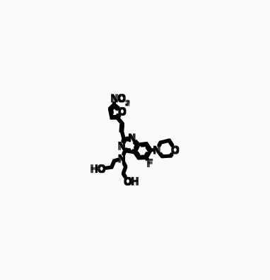 O=[N+]([O-])c1ccc(C=Cc2nc(N(CCO)CCO)c3cc(F)c(N4CCOCC4)cc3n2)o1